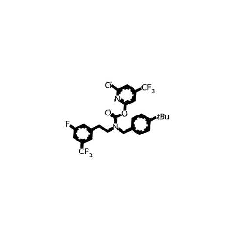 CC(C)(C)c1ccc(CN(CCc2cc(F)cc(C(F)(F)F)c2)C(=O)Oc2cc(C(F)(F)F)cc(Cl)n2)cc1